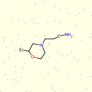 CCC1CN(CCCN)CCO1